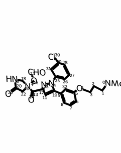 CNCCCOc1cccc(-c2cc(C(=O)[N+]3(OC=O)CNC(=O)C3)nn2-c2cccc(Cl)c2)c1